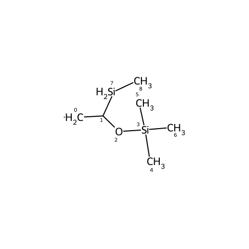 [CH2]C(O[Si](C)(C)C)[SiH2]C